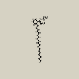 CCCCCCCCCCCCCCCCCCOCC1CC=CCC1N(C=O)CCCCl